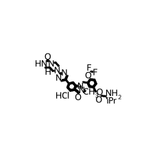 CC(C)[C@H](N)C(=O)OCc1ccc(OC(F)F)c(Cn2c3cc(-c4cnc(N5CCN6C(=O)NC[C@@H]6C5)nc4)ccc3c(=O)n2C)c1.Cl